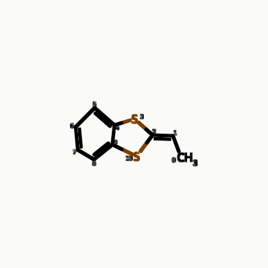 CC=C1Sc2ccccc2S1